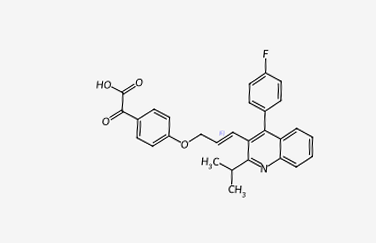 CC(C)c1nc2ccccc2c(-c2ccc(F)cc2)c1/C=C/COc1ccc(C(=O)C(=O)O)cc1